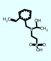 C=Cc1ccccc1CN(CCS(=O)(=O)O)C(C)O